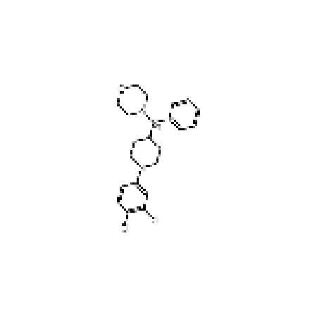 Clc1ccc(N2CCC([C@H](c3cccnc3)N3CCOCC3)CC2)cc1Cl